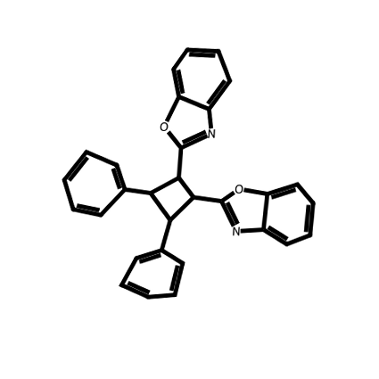 c1ccc(C2C(c3ccccc3)C(c3nc4ccccc4o3)C2c2nc3ccccc3o2)cc1